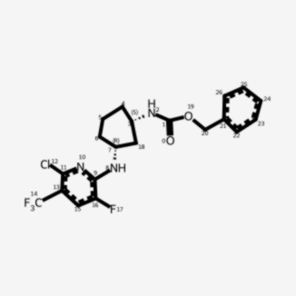 O=C(N[C@H]1CCC[C@@H](Nc2nc(Cl)c(C(F)(F)F)cc2F)C1)OCc1ccccc1